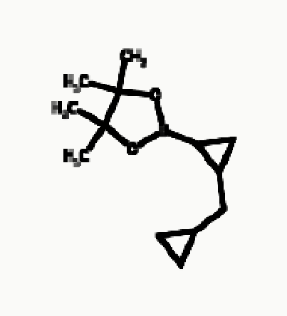 CC1(C)OB(C2CC2CC2CC2)OC1(C)C